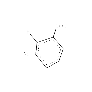 O=C([O-])c1ccccc1F.[Ag+]